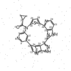 O=C(C1CC1)n1c2cncc(c2)c2cnc3[nH]nc(c4nc5c(ccnc5c5ccc1s5)[nH]4)c3c2F